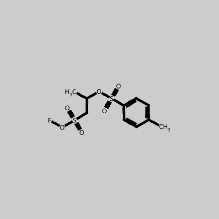 Cc1ccc(S(=O)(=O)OC(C)CS(=O)(=O)OF)cc1